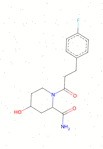 NC(=O)C1CC(O)CCN1C(=O)[CH]Cc1ccc(F)cc1